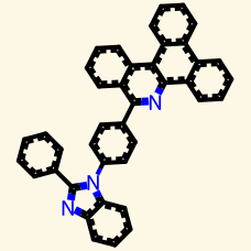 c1ccc(-c2nc3ccccc3n2-c2ccc(-c3nc4c5ccccc5c5ccccc5c4c4ccccc34)cc2)cc1